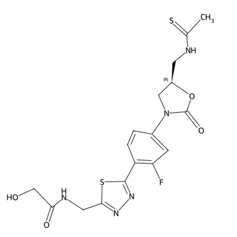 CC(=S)NC[C@@H]1CN(c2ccc(-c3nnc(CNC(=O)CO)s3)c(F)c2)C(=O)O1